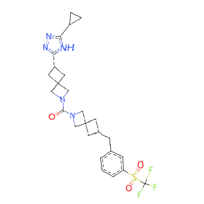 O=C(N1CC2(CC(Cc3cccc(S(=O)(=O)C(F)(F)F)c3)C2)C1)N1CC2(CC(c3nnc(C4CC4)[nH]3)C2)C1